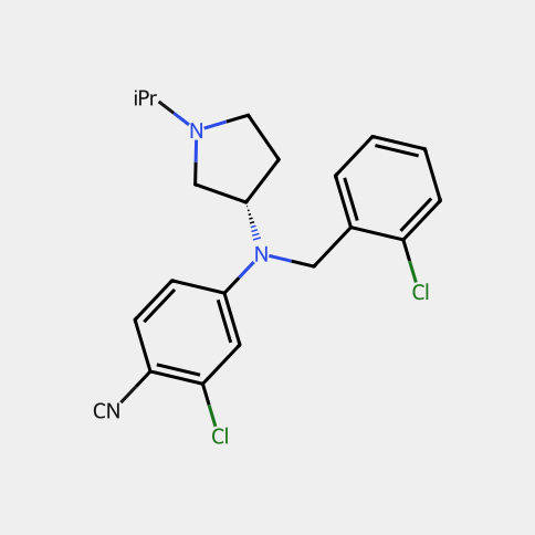 [C-]#[N+]c1ccc(N(Cc2ccccc2Cl)[C@H]2CCN(C(C)C)C2)cc1Cl